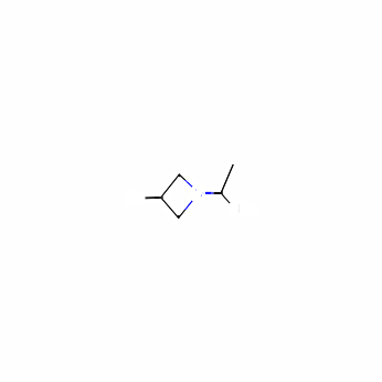 CC(C)C1CN(C(C)C(C)(C)C)C1